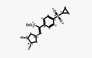 CCOC(=O)C(=C[C@H]1C[C@@H](F)[C@@H](F)C1)c1ccc(S(=O)(=O)C2CC2)cc1